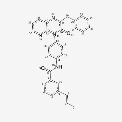 C/C=C/c1cccc(C(=O)Nc2ccc(-n3c(=O)c(Cc4ccccc4)nc4cccnc43)cc2)c1